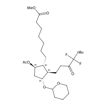 CCCCC(F)(F)C(=O)CC[C@@H]1[C@@H](CCCCCCC(=O)OC)[C@H](OC(C)=O)C[C@H]1OC1CCCCO1